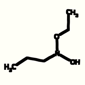 CCCN(O)OCC